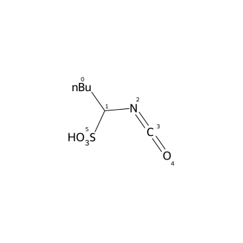 CCCCC(N=C=O)S(=O)(=O)O